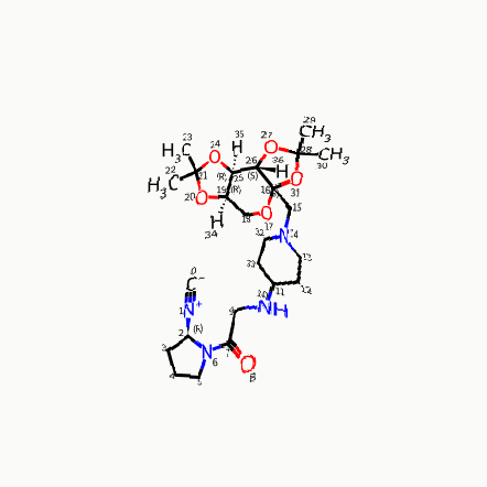 [C-]#[N+][C@@H]1CCCN1C(=O)CNC1CCN(C[C@@]23OC[C@H]4OC(C)(C)O[C@H]4[C@@H]2OC(C)(C)O3)CC1